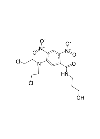 O=C(NCCCO)c1cc(N(CCCl)CCCl)c([N+](=O)[O-])cc1[N+](=O)[O-]